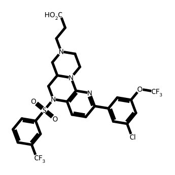 O=C(O)CCN1CCN2c3nc(-c4cc(Cl)cc(OC(F)(F)F)c4)ccc3N(S(=O)(=O)c3cccc(C(F)(F)F)c3)CC2C1